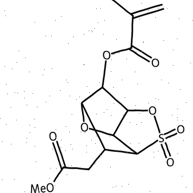 C=C(C)C(=O)OC1C2OC3C1OS(=O)(=O)C3C2CC(=O)OC